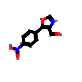 O=Cc1ncoc1-c1ccc([N+](=O)[O-])cc1